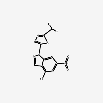 O=[SH](=O)c1cc(Cl)c2cnn(-c3nnc(C(F)F)s3)c2c1